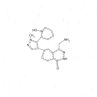 Cn1ncc(-c2ccc3c(=O)[nH]nc(CN)c3c2)c1-c1cccc[n+]1O